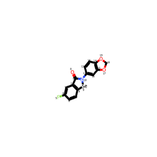 O=c1c2cc(F)ccc2[se]n1-c1ccc2c(c1)OCO2